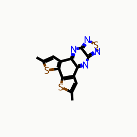 Cc1cc2c3nc4nsnc4nc3c3cc(C)sc3c2s1